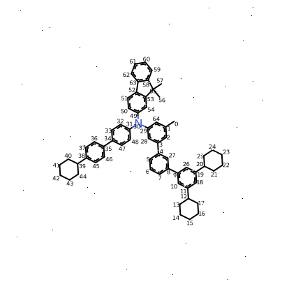 Cc1cc(-c2cccc(-c3cc(C4CCCCC4)cc(C4CCCCC4)c3)c2)cc(N(c2ccc(-c3ccc(C4CCCCC4)cc3)cc2)c2ccc3c(c2)C(C)(C)c2ccccc2-3)c1